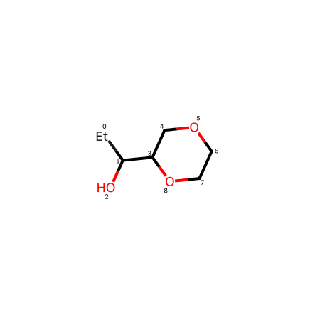 CCC(O)C1COCCO1